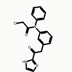 O=C(Cc1cccc(N(C(=O)CCl)c2ccccc2)c1)c1ncc[nH]1